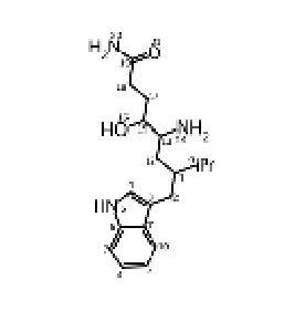 CC(C)C(Cc1c[nH]c2ccccc12)CC(N)C(O)CCC(N)=O